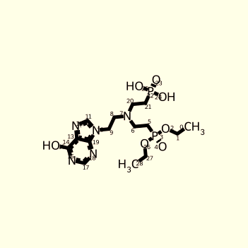 CCOP(=O)(CCN(CCn1cnc2c(O)ncnc21)CCP(=O)(O)O)OCC